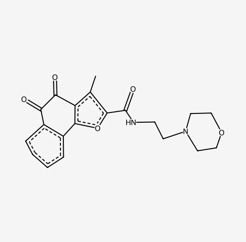 Cc1c(C(=O)NCCN2CCOCC2)oc2c1C(=O)C(=O)c1ccccc1-2